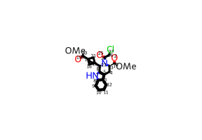 COC(=O)[C@H]1Cc2c([nH]c3ccccc23)[C@H](C23CC(C(=O)OC)(C2)C3)N1C(=O)CCl